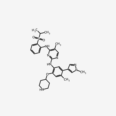 Cc1cc(OC2CCNCC2)c(Nc2ncc(C)c(Nc3ccccc3S(=O)(=O)C(C)C)n2)cc1-c1cnn(C)c1